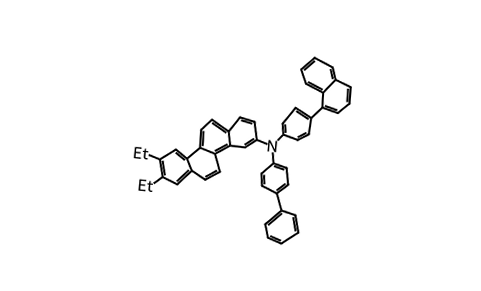 CCc1cc2ccc3c4cc(N(c5ccc(-c6ccccc6)cc5)c5ccc(-c6cccc7ccccc67)cc5)ccc4ccc3c2cc1CC